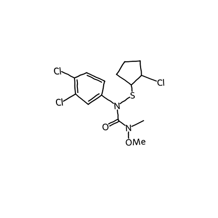 CON(C)C(=O)N(SC1CCCC1Cl)c1ccc(Cl)c(Cl)c1